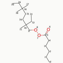 CCCCCC(=O)OOCC(C)(CC)CCC(C)(C)CC